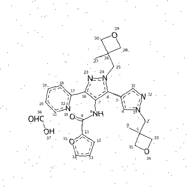 CC1(Cn2cc(-c3c(NC(=O)c4ccco4)c(-c4ccccn4)nn3CC3(C)COC3)cn2)COC1.O=CO